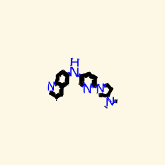 CN(C)C1CCN(c2ccc(Nc3ccc4nc[c]cc4c3)cn2)C1